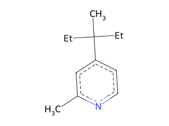 CCC(C)(CC)c1ccnc(C)c1